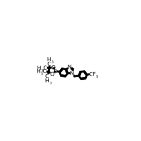 CC1(C)OB(c2ccc3c(c2)ncn3Cc2ccc(C(F)(F)F)cc2)OC1(C)C